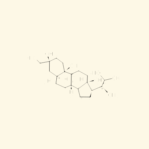 CC[C@]1(O)CC[C@@]2(C)[C@@H](CC[C@@H]3[C@@H]2CC[C@]2(C)[C@@H]([C@H](C)C(C)O)CC[C@@H]32)C1